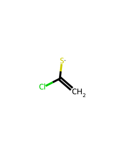 C=C([S])Cl